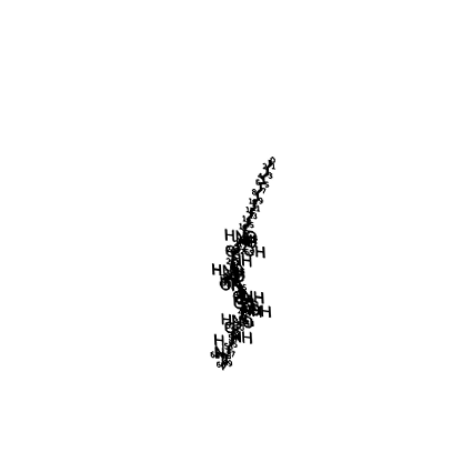 CCCCCCCCCCCCCCCCCC(=O)NC(CCC(=O)NCC(=O)NC(CO)C(=O)NCC(=O)NC(CO)C(=O)NCC(=O)NCC(=O)NCCCC[C@@H](CI)NC)C(=O)O